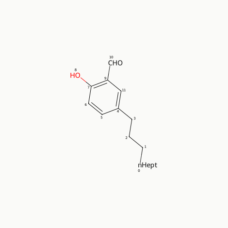 CCCCCCCCCCc1ccc(O)c(C=O)c1